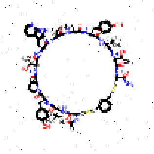 CC[C@]1(C)NC(=O)[C@H](Cc2c[nH]c3ncccc23)NC(=O)[C@H]([C@@H](C)O)NC(=O)[C@@H]2CCCN2C(=O)[C@H](Cc2ccc(O)cc2)NC(=O)[C@H](C(C)(C)C)NC(=O)[C@@H](NC(C)=O)CSCc2cccc(c2)CSC[C@H](C(N)=O)NC(=O)[C@H]([C@@H](C)O)NC(=O)[C@](C)(C(C)C)NC(=O)[C@H](Cc2ccc(O)cc2)NC(=O)[C@H](C)NC1=O